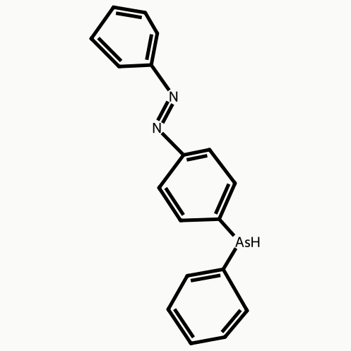 c1ccc(N=Nc2ccc([AsH]c3ccccc3)cc2)cc1